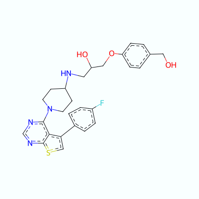 OCc1ccc(OCC(O)CNC2CCN(c3ncnc4scc(-c5ccc(F)cc5)c34)CC2)cc1